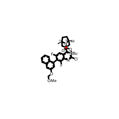 COCOc1cc(-c2c(F)cc3c(N4C[C@H]5CC[C@@](C)(C4)N5C(=O)OC(C)(C)C)nc(Cl)nc3c2F)c2ccccc2c1